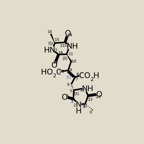 C[C@@H]1NC(=O)[C@H](C/C(C(=O)O)=C(/C[C@@H]2NC(=O)[C@H](C)NC2=O)C(=O)O)NC1=O